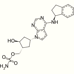 NS(=O)(=O)OC[C@H]1C[C@@H](n2ccc3c(N[C@H]4CCc5ccccc54)ncnc32)C[C@@H]1O